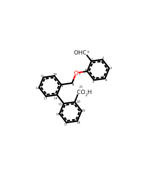 O=Cc1ccccc1OCc1ccccc1-c1ccccc1C(=O)O